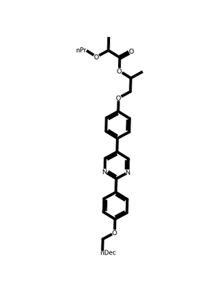 CCCCCCCCCCCOc1ccc(-c2ncc(-c3ccc(OCC(C)OC(=O)C(C)OCCC)cc3)cn2)cc1